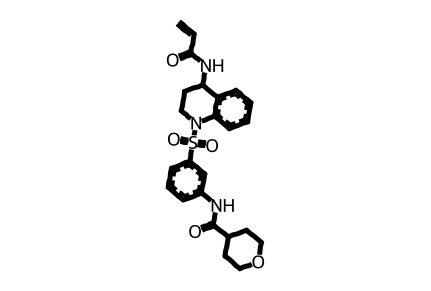 C=CC(=O)NC1CCN(S(=O)(=O)c2cccc(NC(=O)C3CCOCC3)c2)c2ccccc21